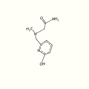 CN(CC(N)=O)Cc1cccc(O)n1